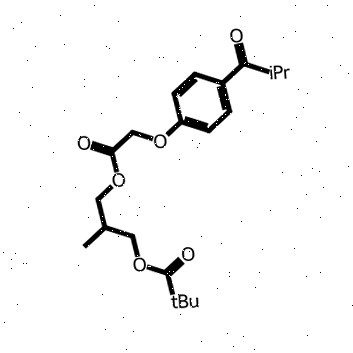 CC(COC(=O)COc1ccc(C(=O)C(C)C)cc1)COC(=O)C(C)(C)C